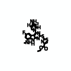 CCOC(=O)c1csc(Sc2nc(N3C[C@H]4C[C@@H]3C[C@H]4N)c3c(n2)[nH]c2c(NC)cc(F)cc23)n1